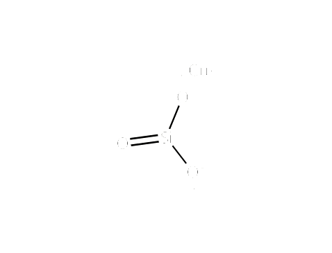 O=[Si]([O-])[O-].[Cu+2]